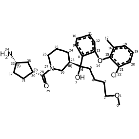 COCCCCC(O)(c1ccccc1Oc1c(C)cccc1Cl)[C@@H]1CCCN(C(=O)[C@@H]2CC[C@H](N)C2)C1